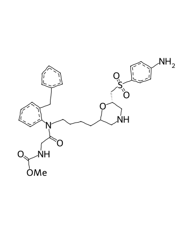 COC(=O)NCC(=O)N(CCCCC1CNC[C@@H](CS(=O)(=O)c2ccc(N)cc2)O1)c1ccccc1Cc1ccccc1